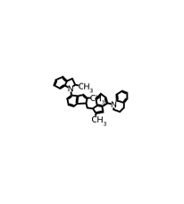 CC1=Cc2c(cccc2N2CCCc3ccccc32)C1CC1C(C)=Cc2c1cccc2N1c2ccccc2CC1C